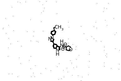 CCc1ccc(-n2cc(-c3ccc4[nH]cc(NS(=O)(=O)C5CCOCC5)c4c3)cn2)cc1